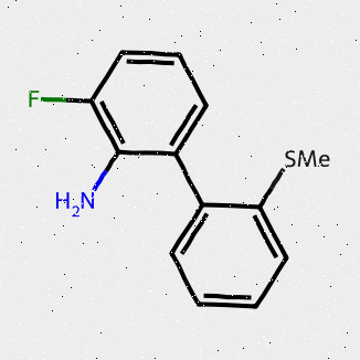 CSc1ccccc1-c1cccc(F)c1N